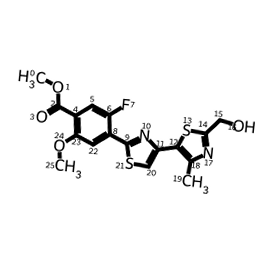 COC(=O)c1cc(F)c(-c2nc(-c3sc(CO)nc3C)cs2)cc1OC